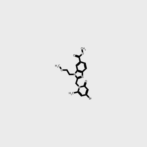 COCCn1c(Cn2c(C)cc(Br)cc2=O)nc2ccc(C(=O)OC)cc21